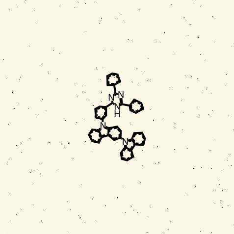 c1ccc(C2=NC(c3cccc(-n4c5ccccc5c5cc(-n6c7ccccc7c7ccccc76)ccc54)c3)NC(c3ccccc3)=N2)cc1